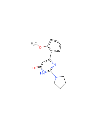 COc1ccccc1-c1cc(=O)[nH]c(N2CCCC2)n1